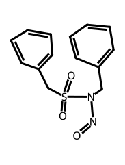 O=NN(Cc1ccccc1)S(=O)(=O)Cc1ccccc1